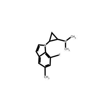 Cc1cc(F)c2c(ccn2C2CC2N(C)C)c1